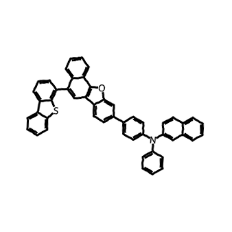 c1ccc(N(c2ccc(-c3ccc4c(c3)oc3c5ccccc5c(-c5cccc6c5sc5ccccc56)cc43)cc2)c2ccc3ccccc3c2)cc1